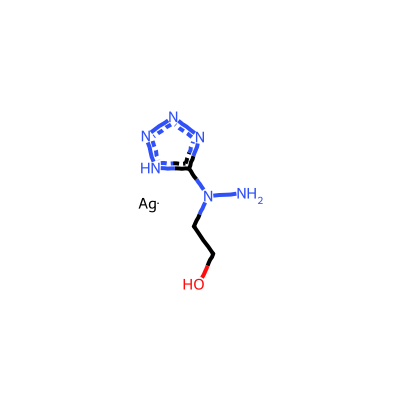 NN(CCO)c1nnn[nH]1.[Ag]